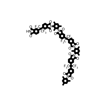 Cc1cc(C)c(N2C(=O)c3ccc(C(c4ccc5c(c4)C(=O)N(c4c(C)cc(C)c(N6C(=O)c7ccc(C(c8ccc9c(c8)C(=O)N(c8c(C)cc(C)c(N%10C(=O)c%11ccc(C(c%12ccc%13c(c%12)C(=O)NC%13=O)(C(F)(F)F)C(F)(F)F)cc%11C%10=O)c8C)C9=O)(C(F)(F)F)C(F)(F)F)cc7C6=O)c4C)C5=O)(C(F)(F)F)C(F)(F)F)cc3C2=O)c(C)c1